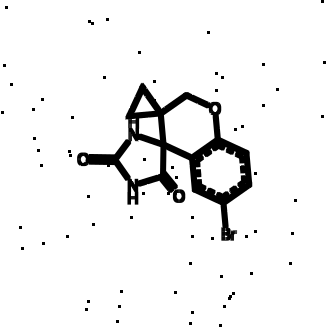 O=C1NC(=O)C2(N1)c1cc(Br)ccc1OCC21CC1